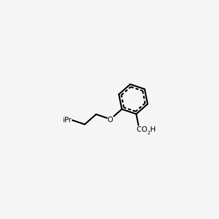 CC(C)CCOc1ccccc1C(=O)O